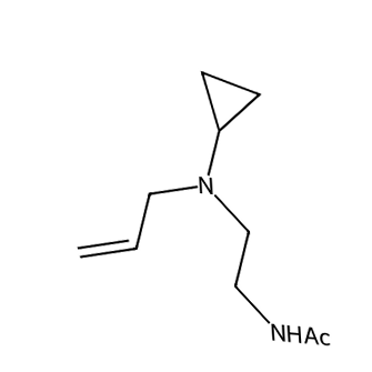 C=CCN(CCNC(C)=O)C1CC1